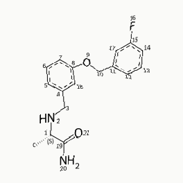 C[C@H](NCc1cccc(OCc2cccc(F)c2)c1)C(N)=O